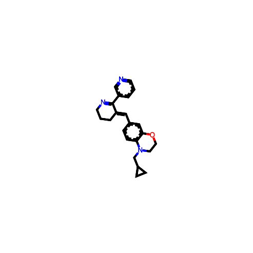 C(=C1/CCCN=C1c1cccnc1)/c1ccc2c(c1)OCCN2CC1CC1